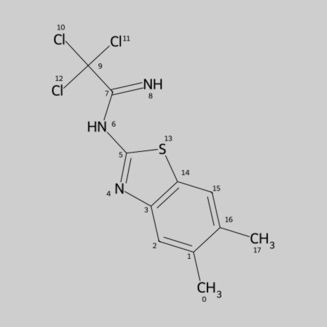 Cc1cc2nc(NC(=N)C(Cl)(Cl)Cl)sc2cc1C